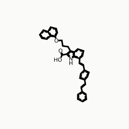 O=C(O)c1[nH]c2c(C=Cc3ccc(C=Cc4ccccc4)cc3)cccc2c1CCCOc1cccc2ccccc12